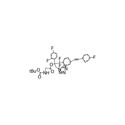 CC(C)(C)OC(=O)NCC(=O)OC(Cn1cnnn1)(c1ccc(F)cc1F)C(F)(F)c1ccc(C#Cc2ccc(F)cc2)cn1